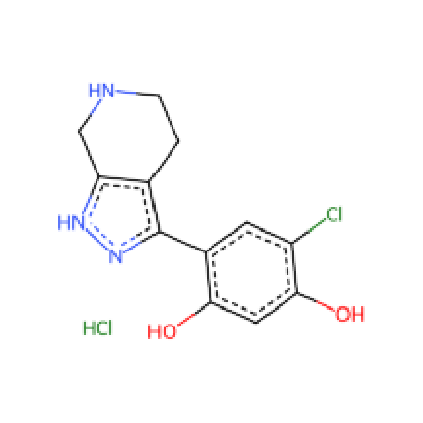 Cl.Oc1cc(O)c(-c2n[nH]c3c2CCNC3)cc1Cl